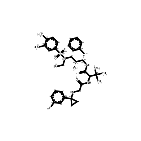 CSC(C)(C)C(NC(=O)CNC1(c2cccc(F)c2)CC1)C(=O)N[C@@H](Cc1ccccc1)[C@H](O)CN(CC(C)C)S(=O)(=O)c1ccc(C)c(N)c1